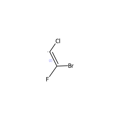 F/C(Br)=[C]/Cl